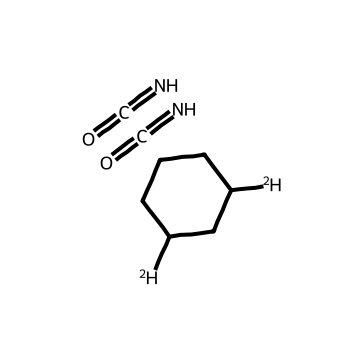 N=C=O.N=C=O.[2H]C1CCCC([2H])C1